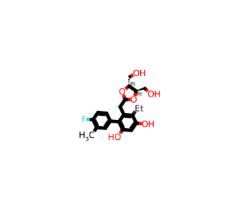 CCc1c(O)cc(O)c(-c2ccc(F)c(C)c2)c1CC1O[C@H](CO)[C@@H](CO)O1